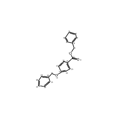 O=C(OCc1ccccc1)c1ccc(OCc2ccccc2)cc1